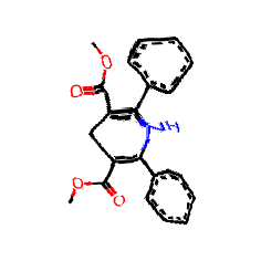 COC(=O)C1=C(c2ccccc2)NC(c2ccccc2)=C(C(=O)OC)C1